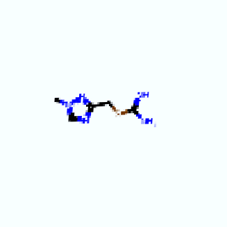 Cn1cnc(CSC(=N)N)n1